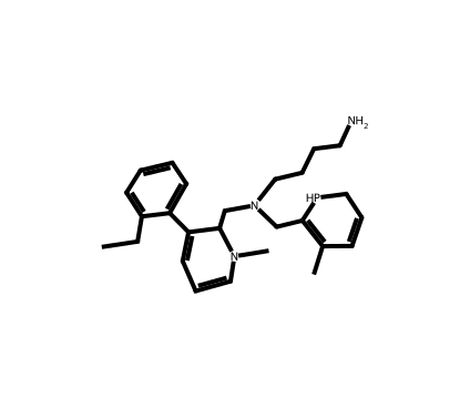 CCc1ccccc1C1=CC=CN(C)C1CN(CCCCN)CC1=C(C)C=CCP1